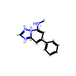 CNc1cc(-c2ccccc2)cc2ncnn12